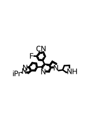 CC(C)n1cc2cc(-c3ncc4c(ccn4CC4CCNC4)c3-c3ccc(C#N)c(F)c3)ccc2n1